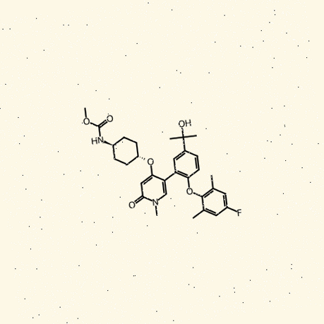 COC(=O)N[C@H]1CC[C@H](Oc2cc(=O)n(C)cc2-c2cc(C(C)(C)O)ccc2Oc2c(C)cc(F)cc2C)CC1